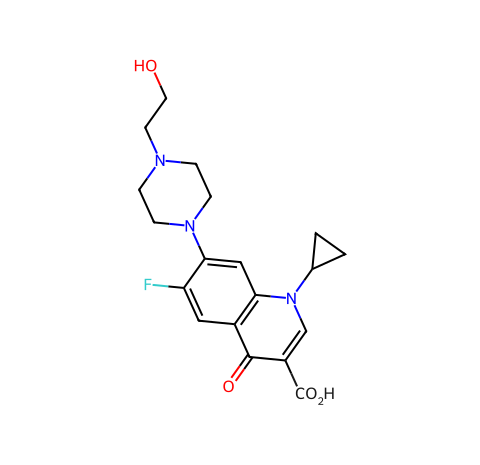 O=C(O)c1cn(C2CC2)c2cc(N3CCN(CCO)CC3)c(F)cc2c1=O